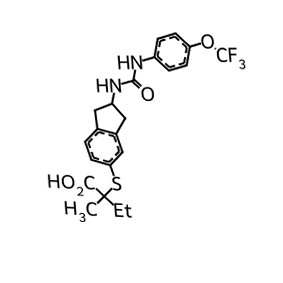 CCC(C)(Sc1ccc2c(c1)CC(NC(=O)Nc1ccc(OC(F)(F)F)cc1)C2)C(=O)O